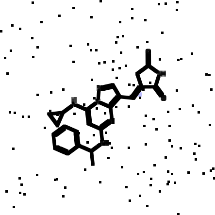 CC(Nc1cc(NC2CC2)n2ncc(/C=C3\CC(=O)NC3=O)c2n1)c1ccccc1